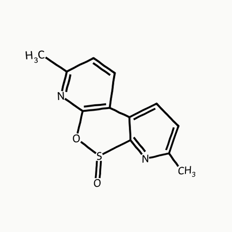 Cc1ccc2c(n1)OS(=O)c1nc(C)ccc1-2